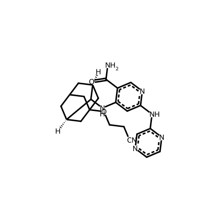 N#CCCOC12CC3C[C@H](C1)C(Nc1cc(Nc4cnccn4)ncc1C(N)=O)[C@@H](C3)C2